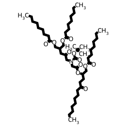 CCCCCCCCC(=O)CCC(COC(=O)CCCCCCCC)OC(=O)CN(CC(=O)CC(COC(=O)CCCCCCCC)COC(=O)CCCCCCCC)C(=O)OC(C)(C)C